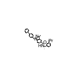 Cc1nn(Cc2ccc(-c3ccccc3)cc2)c2ccc(C(=O)N[C@@H](C)c3cccc(C(C)C)c3)cc12